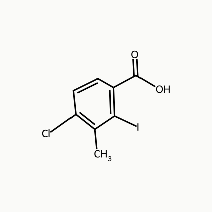 Cc1c(Cl)ccc(C(=O)O)c1I